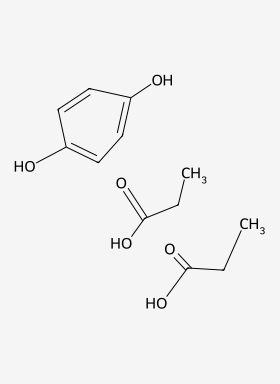 CCC(=O)O.CCC(=O)O.Oc1ccc(O)cc1